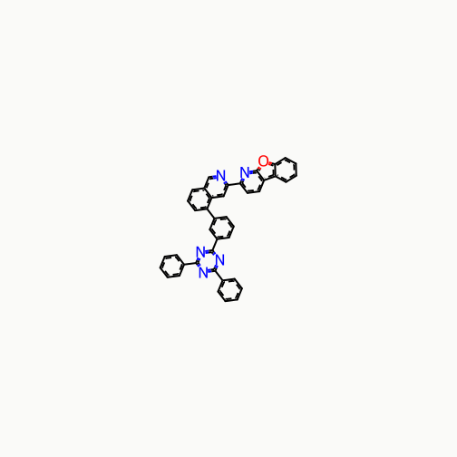 c1ccc(-c2nc(-c3ccccc3)nc(-c3cccc(-c4cccc5cnc(-c6ccc7c(n6)oc6ccccc67)cc45)c3)n2)cc1